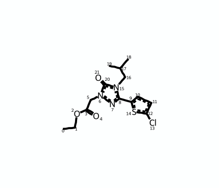 CCOC(=O)Cn1nc(-c2ccc(Cl)s2)n(CC(C)C)c1=O